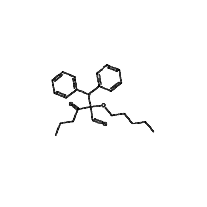 CCCCCOC(C=O)([C](c1ccccc1)c1ccccc1)C(=O)CCC